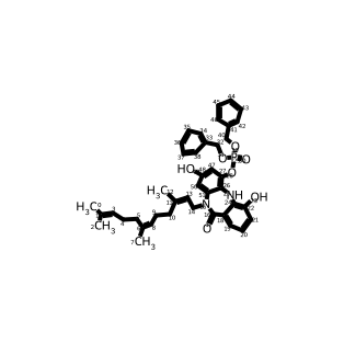 CC(C)=CCCC(C)=CCCC(C)=CCN1C(=O)c2cccc(O)c2Nc2c(OP(=O)(OCc3ccccc3)OCc3ccccc3)cc(O)cc21